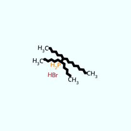 Br.CCCCCCCCCC(CCCCCC)C(P)(CCCCCC)CCCCCC